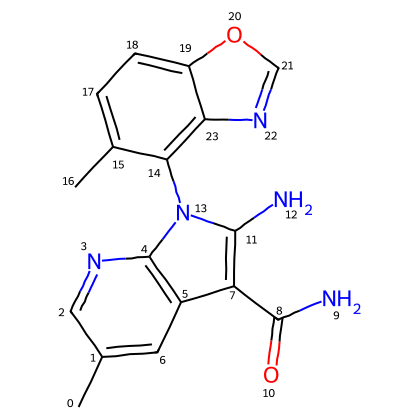 Cc1cnc2c(c1)c(C(N)=O)c(N)n2-c1c(C)ccc2ocnc12